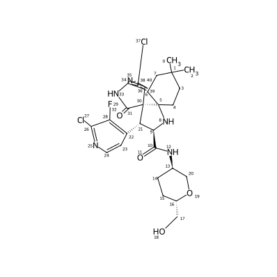 CC1(C)CCC2(CC1)N[C@@H](C(=O)N[C@@H]1CC[C@@H](CO)OC1)[C@H](c1ccnc(Cl)c1F)[C@]21C(=O)Nc2nc(Cl)ccc21